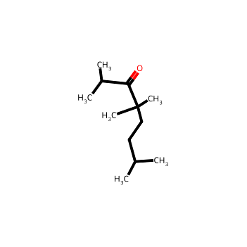 CC(C)CCC(C)(C)C(=O)C(C)C